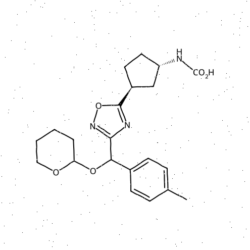 Cc1ccc(C(OC2CCCCO2)c2noc([C@H]3CC[C@H](NC(=O)O)C3)n2)cc1